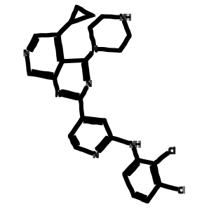 Clc1cccc(Nc2cc(-c3nc(N4CCNCC4)c4c(C5CC5)cncc4n3)ccn2)c1Cl